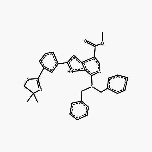 COC(=O)c1cnc(N(Cc2ccccc2)Cc2ccccc2)c2[nH]c(-c3cccc(C4=NC(C)(C)CS4)c3)cc12